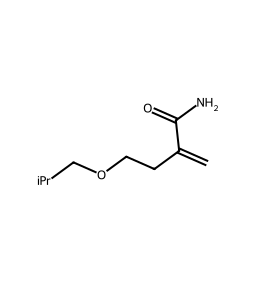 C=C(CCOCC(C)C)C(N)=O